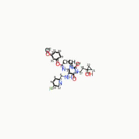 C/C(=N\c1c(NCc2ccc(F)cn2)c(=O)n(CCC2(O)CC2)c(=O)n1C)Oc1cccc(OC(F)(F)F)c1